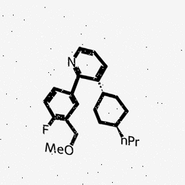 CCC[C@H]1CC[C@H](c2cccnc2-c2ccc(F)c(COC)c2)CC1